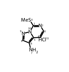 CSc1nccc2c(N)cnn12.Cl